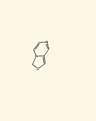 [C]1=C2C=NC=CN2CO1